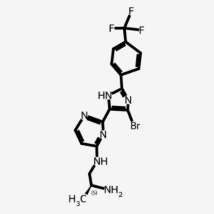 C[C@H](N)CNc1ccnc(-c2[nH]c(-c3ccc(C(F)(F)F)cc3)nc2Br)n1